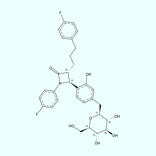 O=C1[C@H](CCCc2ccc(F)cc2)[C@@H](c2ccc(C[C@@H]3O[C@H](CO)[C@@H](O)[C@H](O)[C@H]3O)cc2O)N1c1ccc(F)cc1